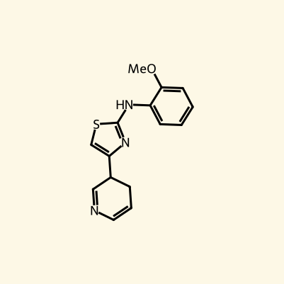 COc1ccccc1Nc1nc(C2C=NC=CC2)cs1